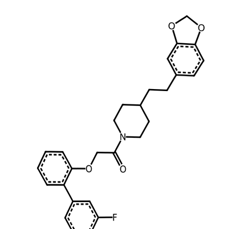 O=C(COc1ccccc1-c1cccc(F)c1)N1CCC(CCc2ccc3c(c2)OCO3)CC1